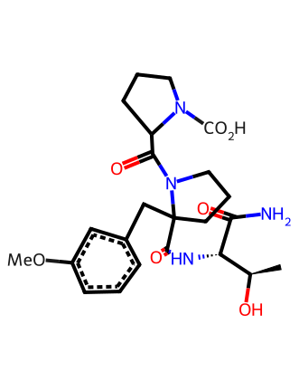 COc1cccc(CC2(C(=O)N[C@H](C(N)=O)[C@@H](C)O)CCCN2C(=O)C2CCCN2C(=O)O)c1